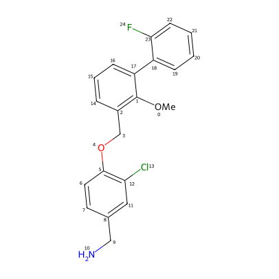 COc1c(COc2ccc(CN)cc2Cl)cccc1-c1ccccc1F